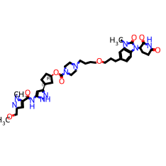 COCc1cc(C(=O)Nc2cc([C@H]3CC[C@@H](OC(=O)N4CCN(CCCCOCCCc5ccc6c(c5)n(C)c(=O)n6C5CCC(=O)NC5=O)CC4)C3)n[nH]2)n(C)n1